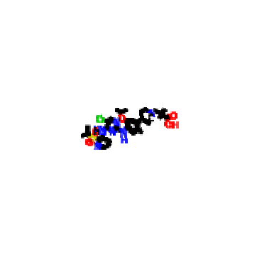 Cc1cc(Nc2ncc(Cl)c(Nc3cccnc3S(=O)(=O)C(C)C)n2)c(OC(C)C)cc1C1CCN(CC(C)(C)C(=O)O)CC1